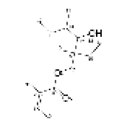 CC=C(C)C(=O)OCC(C)(CC)C(O)C(C)CC